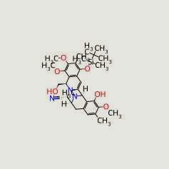 COc1c(C)cc2c(c1O)[C@@H]1C3=Cc4c(O[Si](C)(C)C(C)(C)C)c(C)c(OC)c(OC)c4[C@H](CO)N3[C@@H](C#N)[C@H](C2)N1C